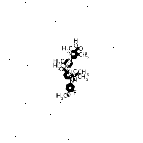 COc1ccc(-n2nc(C(C)(C)C)c3nc(C(=O)N4CCN(c5cc(C)c(C(=O)O)c(C)n5)CC4(C)C)ccc32)cc1F